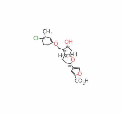 Cc1cc(OC[C@@H]2[C@H]3CC[C@H](c4coc(C(=O)O)c4)O[C@H]3C[C@H]2O)ccc1Cl